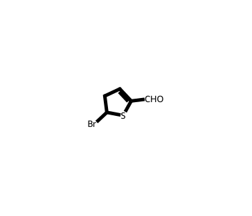 O=CC1=CCC(Br)S1